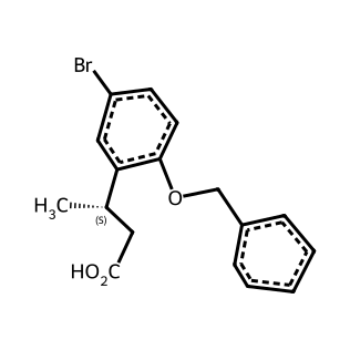 C[C@@H](CC(=O)O)c1cc(Br)ccc1OCc1ccccc1